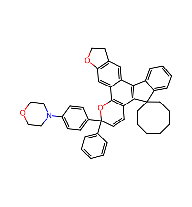 C1=CC(c2ccccc2)(c2ccc(N3CCOCC3)cc2)Oc2c1c1c(c3cc4c(cc23)OCC4)-c2ccccc2C12CCCCCCC2